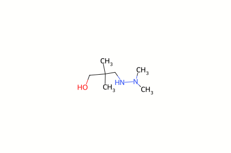 CN(C)NCC(C)(C)CO